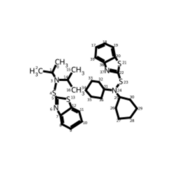 CC(C)N(Sc1nc2ccccc2s1)C(C)C.c1ccc2sc(SN(C3CCCCC3)C3CCCCC3)nc2c1